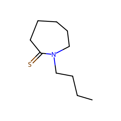 CCCCN1CCCCCC1=S